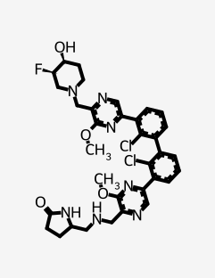 COc1nc(-c2cccc(-c3cccc(-c4cnc(CN5CC[C@H](O)[C@H](F)C5)c(OC)n4)c3Cl)c2Cl)cnc1CNCC1CCC(=O)N1